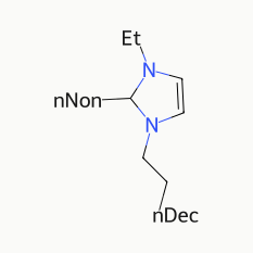 CCCCCCCCCCCCN1C=CN(CC)C1CCCCCCCCC